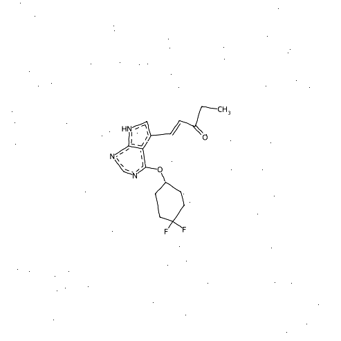 CCC(=O)C=Cc1c[nH]c2ncnc(OC3CCC(F)(F)CC3)c12